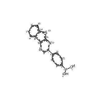 OB(O)c1ccc(-c2cnc3c(n2)sc2ccccc23)cc1